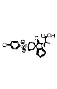 CC(C(=O)O)N1C(=O)C2(CCN(S(=O)(=O)c3ccc(Cl)cc3)CC2)c2ccccc21